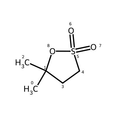 CC1(C)CCS(=O)(=O)O1